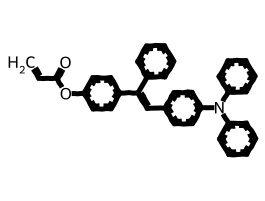 C=CC(=O)Oc1ccc(C(=Cc2ccc(N(c3ccccc3)c3ccccc3)cc2)c2ccccc2)cc1